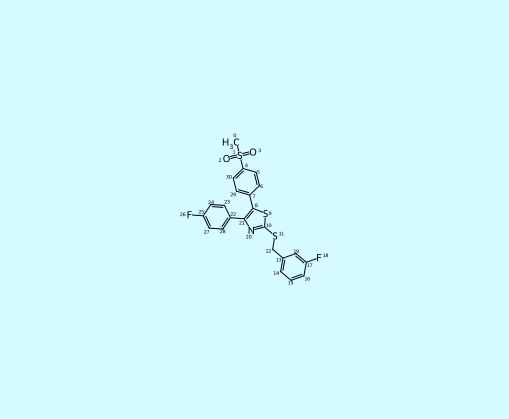 CS(=O)(=O)c1ccc(-c2sc(SCc3cccc(F)c3)nc2-c2ccc(F)cc2)cc1